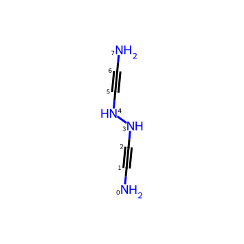 NC#CNNC#CN